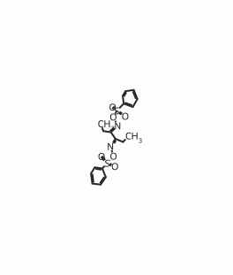 CCC(=N\OS(=O)(=O)c1ccccc1)/C(CC)=N/OS(=O)(=O)c1ccccc1